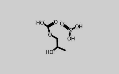 CC(O)COC(=O)O.O=S(O)O